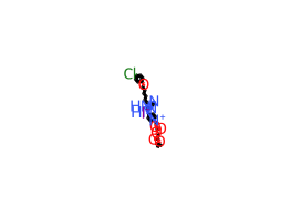 CC(C)(C)OC(=O)COC(=O)OC[n+]1ccc(NC(=NC#N)NCCCCCCOc2ccc(Cl)cc2)cc1.[I-]